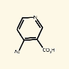 CC(=O)c1ccncc1C(=O)O